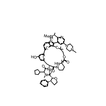 CCn1c(-c2cc(N3CCN(C)CC3)cnc2[C@H](C)OC)c2c3cc(ccc31)-c1cc(O)cc(c1)C[C@H](NC(=O)C(C1CCCC1)N(C)C(=O)[C@H]1OCC[C@H]1c1ccccc1)C(=O)N1CCC[C@H](N1)C(=O)OCC(C)(C)C2